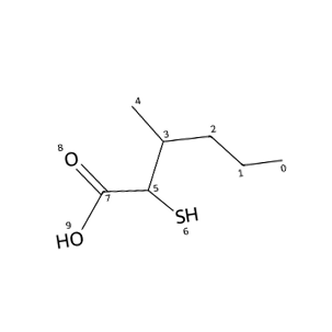 CCCC(C)C(S)C(=O)O